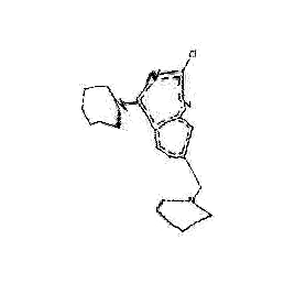 Clc1nc(N2CCCCC2)c2ccc(CN3CCCC3)cc2n1